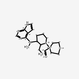 CCC1C(N(C)c2ncnc3[nH]ccc23)CCCN1[N+]1(C=O)CCOCC1